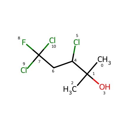 CC(C)(O)C(Cl)CC(F)(Cl)Cl